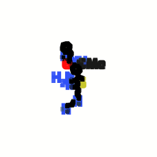 COc1cc(-c2csc3c(C=CCN(C)CCCN(C)C)cnc(N)c23)ccc1NC(=O)c1cc2ccccc2n1C